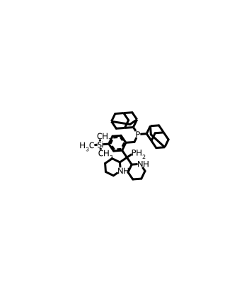 C[Si](C)(C)c1ccc(CP(C2C3CC4CC(C3)CC2C4)C2C3CC4CC(C3)CC2C4)c(C(P)(C2CCCCN2)C2CCCCN2)c1